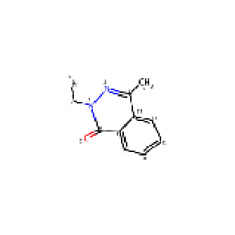 Cc1nn(CC(C)C)c(=O)c2ccccc12